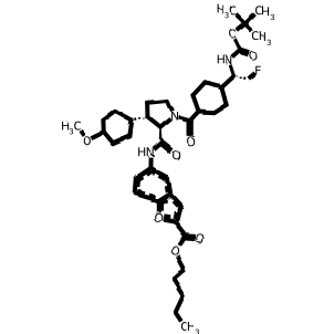 CCCCCOC(=O)c1cc2cc(NC(=O)[C@H]3[C@H](C4CCC(OC)CC4)CCN3C(=O)C3CCC([C@@H](CF)NC(=O)OC(C)(C)C)CC3)ccc2o1